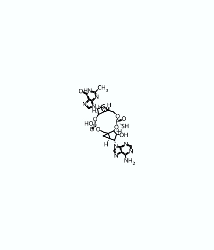 Cc1nc2c(ncn2[C@@H]2S[C@@H]3CO[P@](=O)(S)O[C@H]4[C@@H](O)[C@H](n5cnc6c(N)ncnc65)[C@H]5CC54COP(=O)(O)O[C@@H]2[C@@H]3O)c(=O)[nH]1